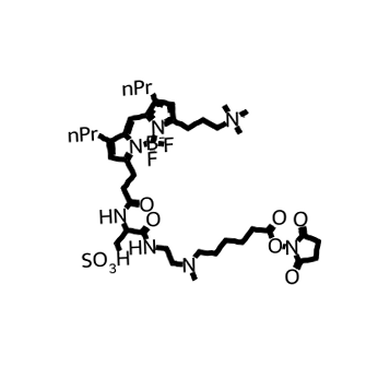 CCCC1=CC(CCC(=O)NC(CS(=O)(=O)O)C(=O)NCCN(C)CCCCCC(=O)ON2C(=O)CCC2=O)=[N+]2C1=Cc1c(CCC)cc(CCC[N+](C)(C)C)n1[B-]2(F)F